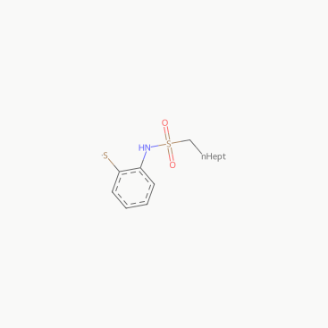 CCCCCCCCS(=O)(=O)Nc1ccccc1[S]